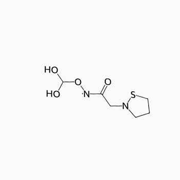 O=C(CN1CCCS1)[N]OC(O)O